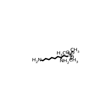 CO[Si](CCC(N)CCCCCCN)(OC)OC